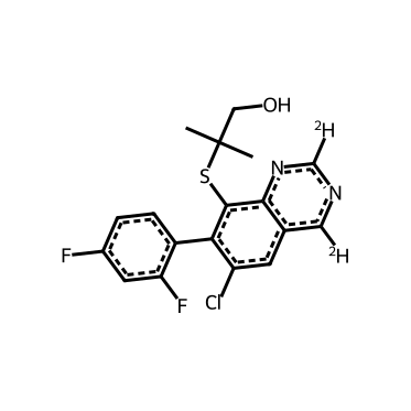 [2H]c1nc([2H])c2cc(Cl)c(-c3ccc(F)cc3F)c(SC(C)(C)CO)c2n1